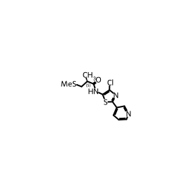 CSC[C@@H](C)C(=O)Nc1sc(-c2cccnc2)nc1Cl